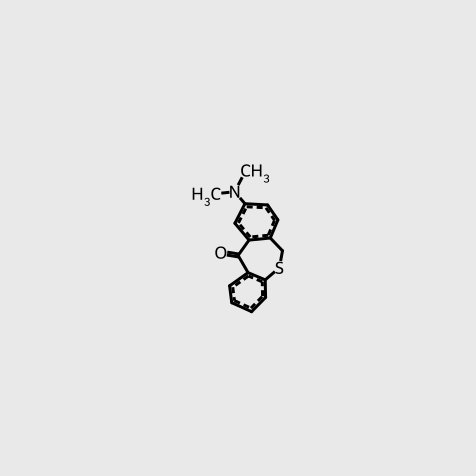 CN(C)c1ccc2c(c1)C(=O)c1ccccc1SC2